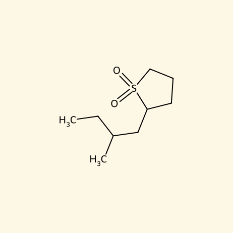 CCC(C)CC1CCCS1(=O)=O